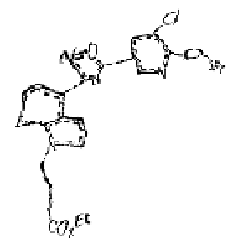 CCOC(=O)CCCn1ccc2c(-c3noc(-c4cnc(OC(C)C)c(Cl)c4)n3)cccc21